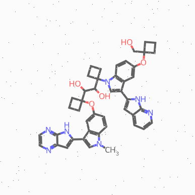 Cn1cc(-c2cc3nccnc3[nH]2)c2cc(OC3(C(O)C(O)C4(n5cc(-c6cc7cccnc7[nH]6)c6cc(OC7(CO)CCC7)ccc65)CCC4)CCC3)ccc21